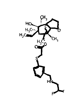 C=C[C@]1(C)C[C@@H](OC(=O)CSc2cccc(CNCC(F)F)c2)[C@]2(C)C(C)CCC3(CCC(=O)C32)[C@@H](C)[C@@H]1O